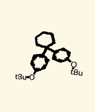 CC(C)(C)Oc1ccc(C2(c3ccc(OC(C)(C)C)cc3)CCCCC2)cc1